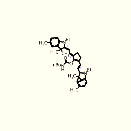 CCCCNC(=O)OC1=C(/C=C/C2N(CC)c3ccc(C)c4c3C42C)CC/C1=C\C=C1\N(CC)c2ccc(C)cc2C1(C)C